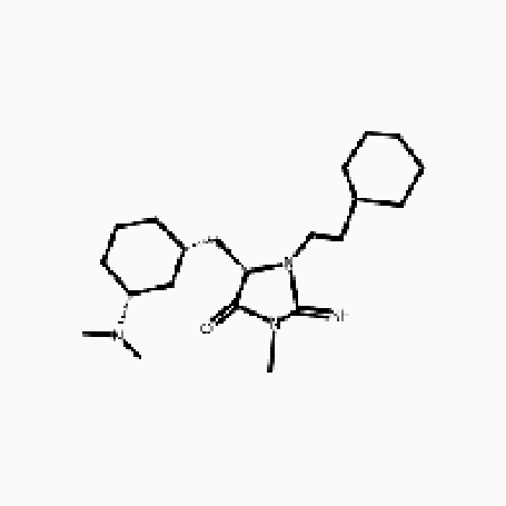 CN1C(=N)N(CCC2CCCCC2)[C@H](C[C@H]2CCC[C@@H](N(C)C)C2)C1=O